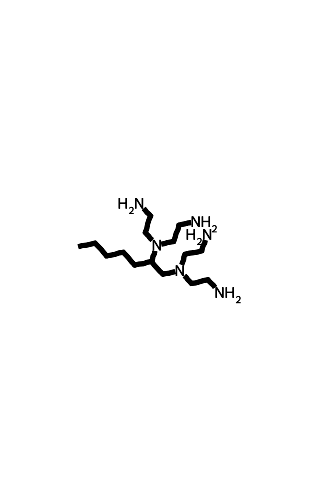 CCCCCC(CN(CCN)CCN)N(CCN)CCN